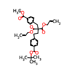 C=CCOC(=O)C(CCc1ccc(C(=O)OC(C)(C)C)cc1)(Cc1ccc(C(=O)OC)cc1)C(=O)OCC=C